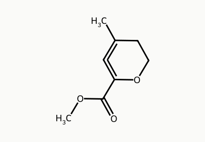 COC(=O)C1=C=C(C)CCO1